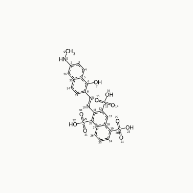 CNc1ccc2c(O)c(N=Nc3c(S(=O)(=O)O)cc4c(S(=O)(=O)O)cccc4c3S(=O)(=O)O)ccc2c1